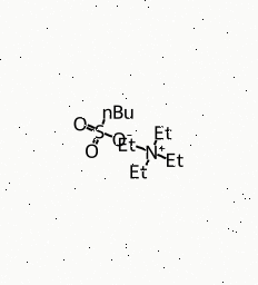 CCCCS(=O)(=O)[O-].CC[N+](CC)(CC)CC